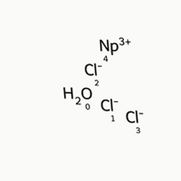 O.[Cl-].[Cl-].[Cl-].[Np+3]